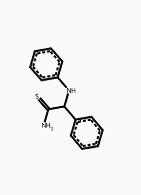 NC(=S)C(Nc1ccccc1)c1ccccc1